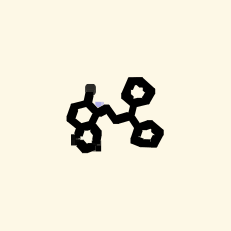 O=C1C=Cc2ncncc2/C1=C\C=C(c1ccccc1)c1ccccc1